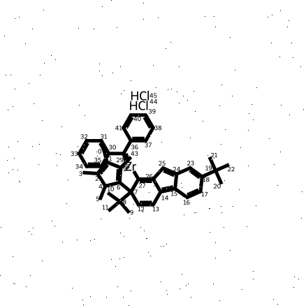 CC1=C(C)C(C)C(C2(C(C)(C)C)C=CC3=c4ccc(C(C)(C)C)cc4=CC3=[C]2[Zr]=[C](c2ccccc2)c2ccccc2)=C1C.Cl.Cl